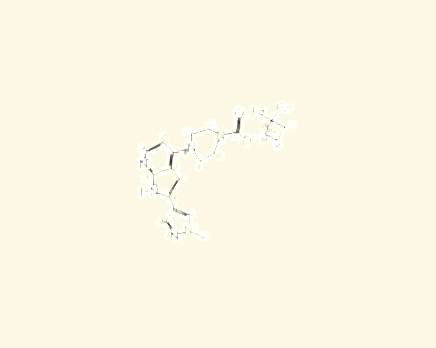 Cn1cc(-c2cc3c(N4CCN(C(=O)O[C@H]5CCC5(F)F)CC4)ccnc3[nH]2)cn1